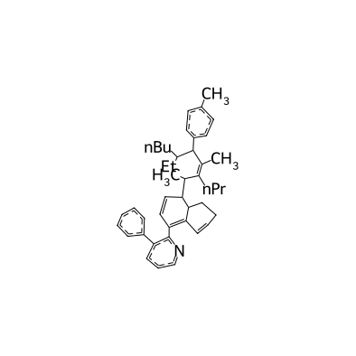 CCCCC(CC)C(/C(C)=C(/CCC)C(C)C1C=CC(c2ncccc2-c2ccccc2)=C2C=CCCC21)c1ccc(C)cc1